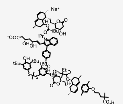 CC(C)(Sc1cc(C(C)(C)C)c(O)c(C(C)(C)C)c1)Sc1cc(C(C)(C)C)c(O)c(C(C)(C)C)c1.CC(C)n1c(/C=C/[C@@H](O)C[C@@H](O)CC(=O)[O-])c(-c2ccc(F)cc2)c2ccccc21.CCC(C)(C)C(=O)O[C@H]1C[C@@H](C)C=C2C=C[C@H](C)[C@H](CC[C@@H]3C[C@@H](O)CC(=O)O3)[C@H]21.CC[C@H](C)C(=O)O[C@H]1C[C@@H](C)C=C2C=C[C@H](C)[C@H](CC[C@@H]3C[C@@H](O)CC(=O)O3)[C@H]21.Cc1ccc(C)c(OCCCC(C)(C)C(=O)O)c1.[Na+]